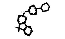 CC1(C)c2ccccc2-c2cc(Nc3ccc(C4CCCCC4)cc3)ccc21